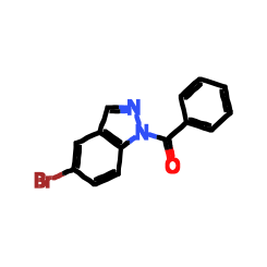 O=C(c1ccccc1)n1ncc2cc(Br)ccc21